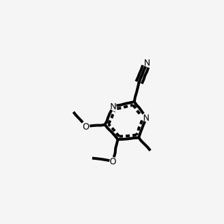 COc1nc(C#N)nc(C)c1OC